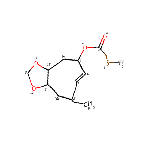 CCSC(=O)OC1/C=C/C(C)CC2OCOC2C1